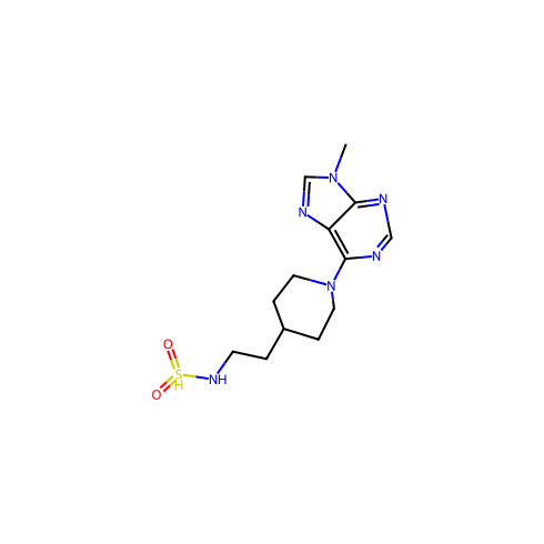 Cn1cnc2c(N3CCC(CCN[SH](=O)=O)CC3)ncnc21